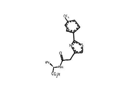 CC(C)[C@@H](NC(=O)Cc1csc(-c2ccc(C(F)(F)F)cc2)n1)C(=O)O